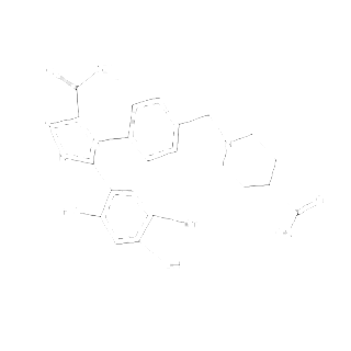 CC(C)c1cc(-c2nnc(C(N)=O)n2-c2ccc(CN3CCC(C(=O)N=O)CC3)cc2)c(O)cc1O